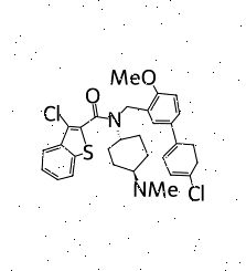 CN[C@H]1CC[C@H](N(Cc2cc(C3=CC=C(Cl)CC3)ccc2OC)C(=O)c2sc3ccccc3c2Cl)CC1